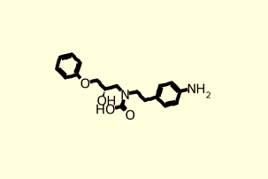 Nc1ccc(CCN(C[C@H](O)COc2ccccc2)C(=O)O)cc1